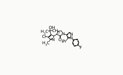 CC1=NC(C2CCN(c3cnn(-c4ccc(F)cc4)c3C(C)C)C2=O)C(C(C)(C)O)=C1Cl